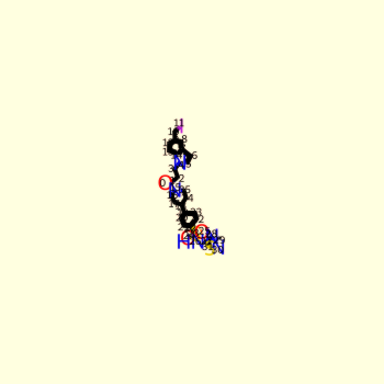 O=C(CCn1ccc2cc(CI)ccc21)N1CCC(c2ccc(S(=O)(=O)Nc3ncns3)cc2)CC1